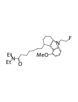 CCN(CC)C(=O)CCCCCCC1CCCc2c1c1c(OC)cccc1n2CCF